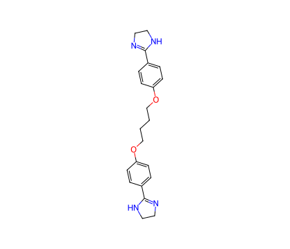 c1cc(C2=NCCN2)ccc1OCCCCOc1ccc(C2=NCCN2)cc1